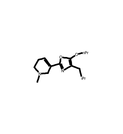 CCCOc1oc(C2=CCCN(C)C2)nc1CC(C)C